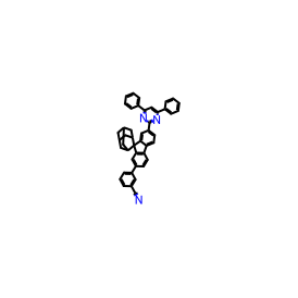 N#Cc1cccc(-c2ccc3c(c2)C2(c4cc(-c5nc(-c6ccccc6)cc(-c6ccccc6)n5)ccc4-3)C3CC4CC(C3)CC2C4)c1